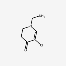 NCN1C=C(Cl)C(=O)CC1